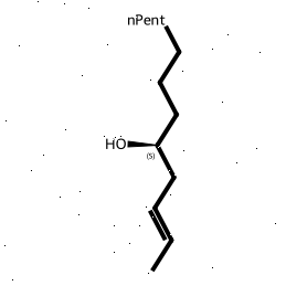 CC=CC[C@@H](O)CCCCCCCC